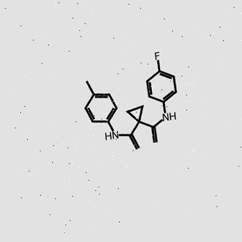 C=C(Nc1ccc(C)cc1)C1(C(=C)Nc2ccc(F)cc2)CC1